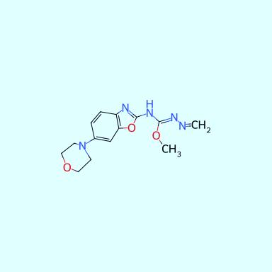 C=N/N=C(/Nc1nc2ccc(N3CCOCC3)cc2o1)OC